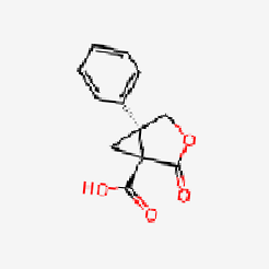 O=C(O)[C@@]12C[C@@]1(c1ccccc1)COC2=O